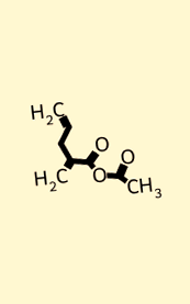 C=CCC(=C)C(=O)OC(C)=O